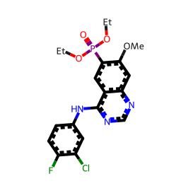 CCOP(=O)(OCC)c1cc2c(Nc3ccc(F)c(Cl)c3)ncnc2cc1OC